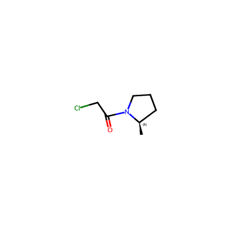 C[C@@H]1CCCN1C(=O)CCl